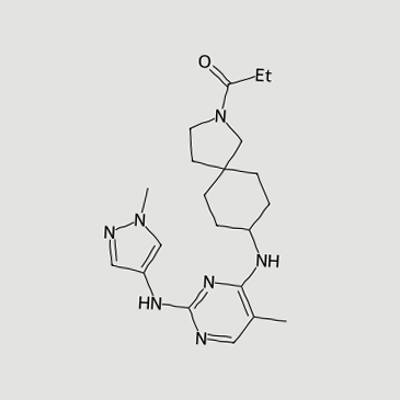 CCC(=O)N1CCC2(CCC(Nc3nc(Nc4cnn(C)c4)ncc3C)CC2)C1